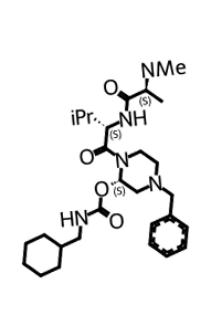 CN[C@@H](C)C(=O)N[C@H](C(=O)N1CCN(Cc2ccccc2)C[C@@H]1OC(=O)NCC1CCCCC1)C(C)C